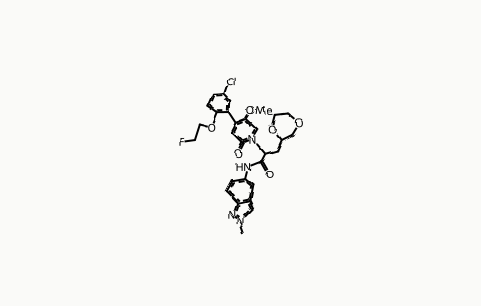 COc1cn(C(CC2COCCO2)C(=O)Nc2ccc3nn(C)cc3c2)c(=O)cc1-c1cc(Cl)ccc1OCCF